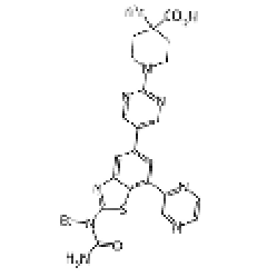 CCCC1(C(=O)O)CCN(c2ncc(-c3cc(-c4cnccn4)c4sc(N(CC)C(N)=O)nc4c3)cn2)CC1